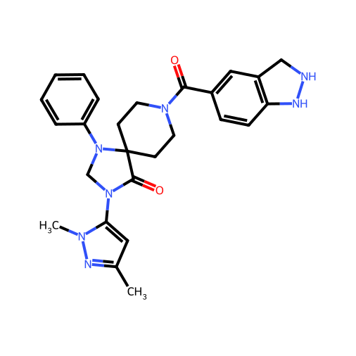 Cc1cc(N2CN(c3ccccc3)C3(CCN(C(=O)c4ccc5c(c4)CNN5)CC3)C2=O)n(C)n1